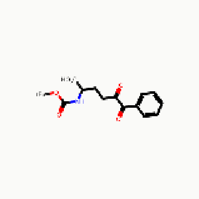 CC(C)(C)OC(=O)NC(CCC(=O)C(=O)c1ccccc1)C(=O)O